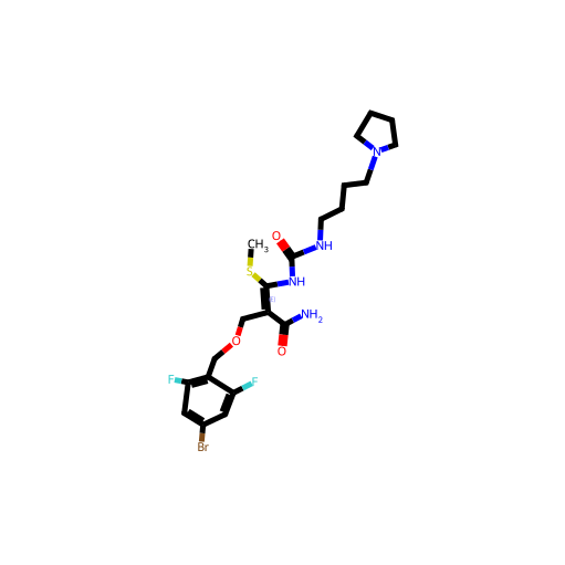 CS/C(NC(=O)NCCCCN1CCCC1)=C(\COCc1c(F)cc(Br)cc1F)C(N)=O